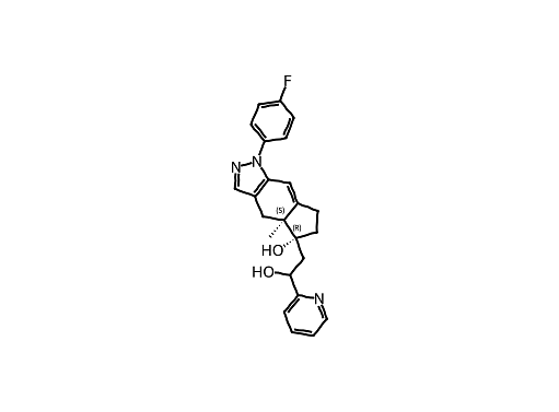 C[C@]12Cc3cnn(-c4ccc(F)cc4)c3C=C1CC[C@@]2(O)CC(O)c1ccccn1